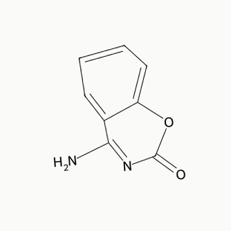 Nc1nc(=O)oc2ccccc12